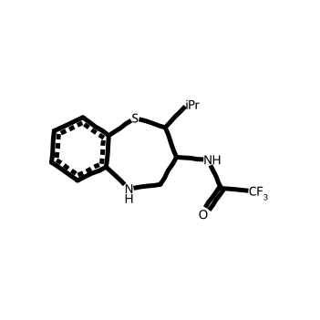 CC(C)C1Sc2ccccc2NCC1NC(=O)C(F)(F)F